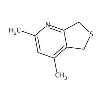 Cc1cc(C)c2c(n1)CSC2